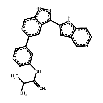 C=C(Nc1cncc(-c2cc3c(-c4cc5cnccc5[nH]4)n[nH]c3cn2)c1)C(C)C